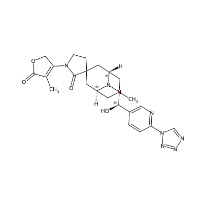 CC1=C(N2CCC3(C[C@@H]4CN(C)C[C@@H](C3)N4C[C@H](O)c3ccc(-n4cnnn4)nc3)C2=O)COC1=O